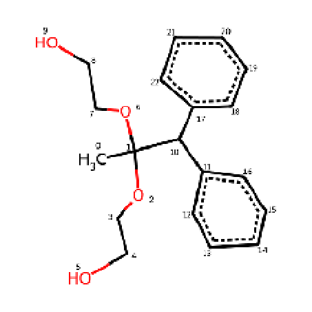 CC(OCCO)(OCCO)C(c1ccccc1)c1ccccc1